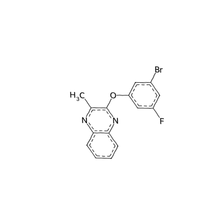 Cc1nc2ccccc2nc1Oc1cc(F)cc(Br)c1